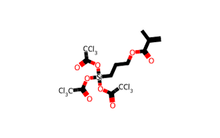 C=C(C)C(=O)OCCC[Si](OC(=O)C(Cl)(Cl)Cl)(OC(=O)C(Cl)(Cl)Cl)OC(=O)C(Cl)(Cl)Cl